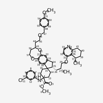 COC(=O)C1(Nc2cccc(Cl)c2)CCC2(CC1)c1cc3c(cc1C[C@@H]2C[C@@H](C)COc1ccnc2c1[C@H](C)CCC2)OC(CCOCc1ccc(OC)cc1)CCO3